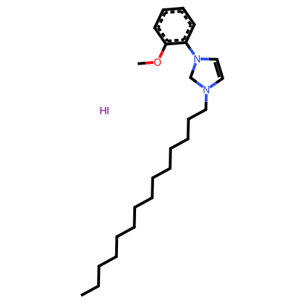 CCCCCCCCCCCCCCN1C=CN(c2ccccc2OC)C1.I